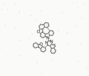 c1cc2c3c(c1)ccc1oc4ccc5c(c6c-2cccc6n5-c2nc(-c5cccc6c5oc5ccccc56)c5c(n2)sc2ccccc25)c4c13